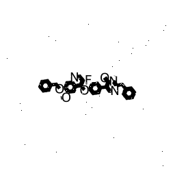 COc1cc2c(Oc3ccc(-c4cnc(Cc5ccccc5)n(C)c4=O)cc3F)ccnc2cc1OCc1ccccc1